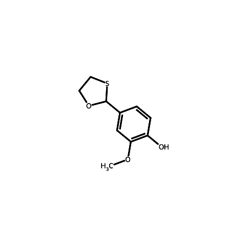 COc1cc(C2OCCS2)ccc1O